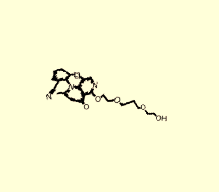 Cc1cc(=O)c2c(OCCOCCCOCCO)ncc(Cl)c2n1-c1c(Cl)cccc1C#N